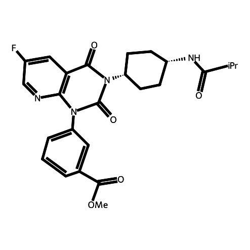 COC(=O)c1cccc(-n2c(=O)n([C@H]3CC[C@@H](NC(=O)C(C)C)CC3)c(=O)c3cc(F)cnc32)c1